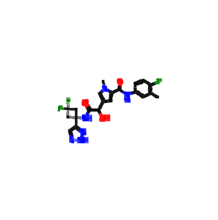 Cc1cc(NC(=O)c2cc(C(O)C(=O)NC3(c4cn[nH]n4)CC(F)(F)C3)cn2C)ccc1F